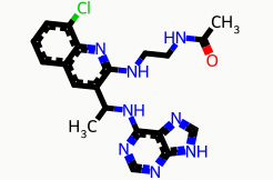 CC(=O)NCCNc1nc2c(Cl)cccc2cc1C(C)Nc1ncnc2[nH]cnc12